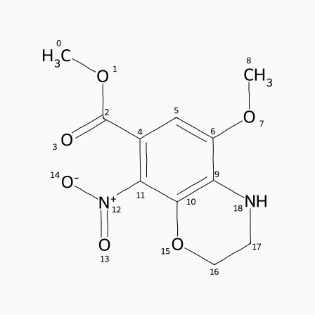 COC(=O)c1cc(OC)c2c(c1[N+](=O)[O-])OCCN2